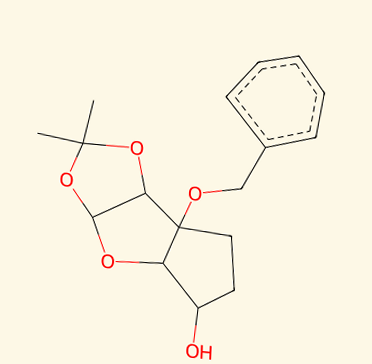 CC1(C)OC2OC3C(O)CCC3(OCc3ccccc3)C2O1